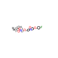 CC(C)(C)OC(=O)N1CCC(OCc2ccc(-n3ccc(OCc4ccc(F)cc4)cc3=O)cc2)C1